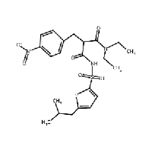 CCN(CC)C(=O)C(Cc1ccc([N+](=O)[O-])cc1)C(=O)NS(=O)(=O)c1ccc(CC(C)C)s1